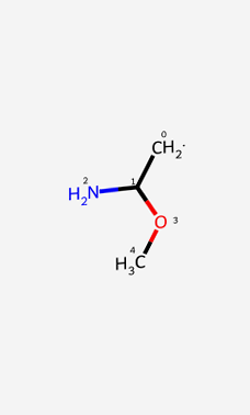 [CH2]C(N)OC